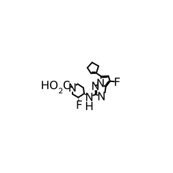 O=C(O)N1CC[C@@H](Nc2ncc3c(F)cc(C4=CCCC4)n3n2)[C@H](F)C1